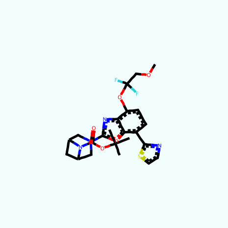 COCC(F)(F)Oc1ccc(-c2nccs2)c2oc(N3CC4CC(C3)N4C(=O)OC(C)(C)C)nc12